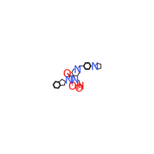 O=C1N(C2Cc3ccccc3C2)C(O)N(CC2CO2)C12CCN(Cc1ccc(N3CCCC3)cc1)CC2